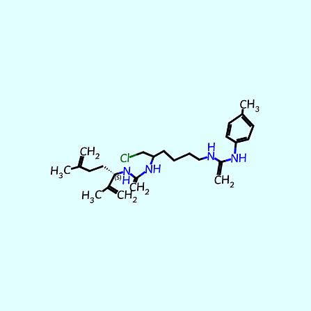 C=C(C)CC[C@H](NC(=C)NC(CCl)CCCCNC(=C)Nc1ccc(C)cc1)C(=C)C